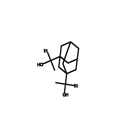 CCC(C)(O)C12CC3CC(C1)CC(C(C)(O)CC)(C3)C2